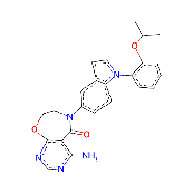 CC(C)Oc1ccccc1-n1ccc2cc(N3CCOc4ncnc(N)c4C3=O)ccc21